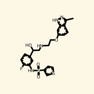 Cc1n[nH]c2cc(OCCNCC(O)c3ccc(F)c(NS(=O)(=O)c4ccsc4)c3)ccc12